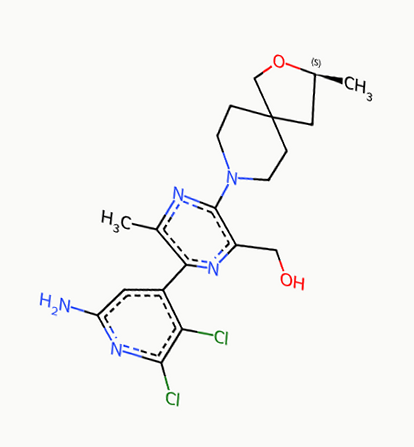 Cc1nc(N2CCC3(CC2)CO[C@@H](C)C3)c(CO)nc1-c1cc(N)nc(Cl)c1Cl